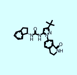 CC(C)(C)c1cc(NC(=O)N[C@H]2CCc3ccccc32)n(-c2ccc3c(c2)C(=O)NCC3)n1